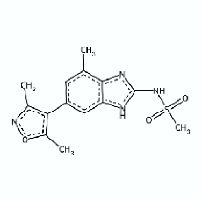 Cc1noc(C)c1-c1cc(C)c2nc(NS(C)(=O)=O)[nH]c2c1